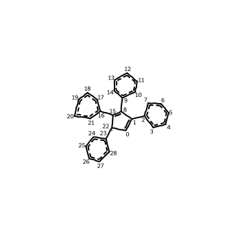 C1=C(c2ccccc2)C(c2ccccc2)=C(c2ccccc2)[C]1c1ccccc1